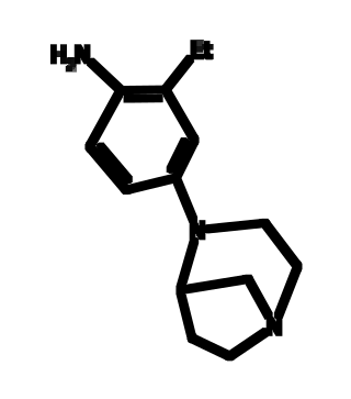 CCc1cc(N2CCN3CCC2C3)ccc1N